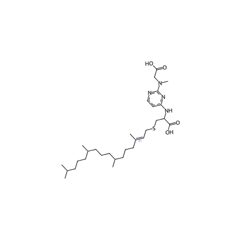 C/C(=C\CSCC(Nc1ccnc(N(C)CC(=O)O)n1)C(=O)O)CCCC(C)CCCC(C)CCCC(C)C